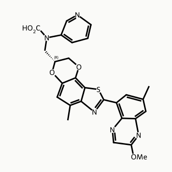 COc1cnc2c(-c3nc4c(C)cc5c(c4s3)OC[C@@H](CN(C(=O)O)c3cccnc3)O5)cc(C)cc2n1